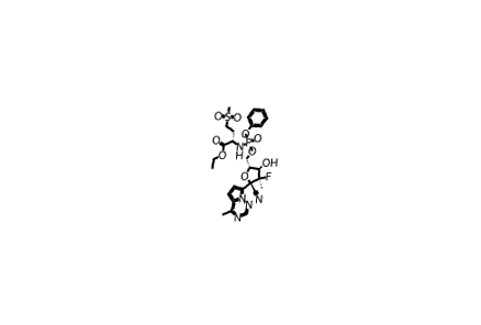 CCOC(=O)[C@H](CCS(C)(=O)=O)NP(=O)(OC[C@H]1O[C@@](C#N)(c2ccc3c(C)ncnn23)[C@](C)(F)[C@@H]1O)Oc1ccccc1